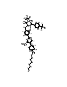 CCCCCCCCOc1ccc(-c2cnc(-c3ccc(C[C@H](NC(=O)c4ccc(C(C)(C)C)cc4)C(=O)OC(C)(C)C)cc3)nc2OC)cc1